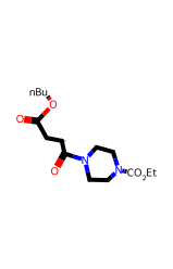 CCCCOC(=O)C[CH]C(=O)N1CCN(C(=O)OCC)CC1